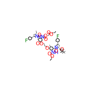 C=CCOC(=O)COC(=O)Nc1cc(OCCCOc2cc(NC(=O)OCC=C)c(C(=O)N3C=C(c4ccc(F)cc4)C[C@H]3CO[Si](C)(C)C(C)(C)C)cc2C)c(OC)cc1C(=O)N1C=C(c2ccc(F)cc2)C[C@H]1CC